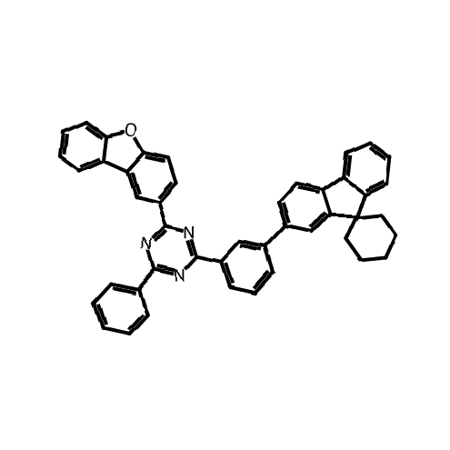 c1ccc(-c2nc(-c3cccc(-c4ccc5c(c4)C4(CCCCC4)c4ccccc4-5)c3)nc(-c3ccc4oc5ccccc5c4c3)n2)cc1